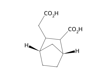 O=C(O)CC1C(C(=O)O)[C@@H]2CC[C@H]1C2